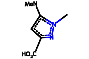 CNc1cc(C(=O)O)nn1C